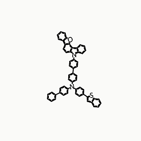 c1ccc(-c2ccc(N(c3ccc(-c4ccc(-n5c6ccccc6c6c7oc8ccccc8c7ccc65)cc4)cc3)c3ccc(-c4cc5ccccc5s4)cc3)cc2)cc1